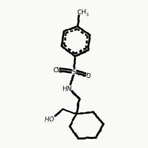 Cc1ccc(S(=O)(=O)NCC2(CO)CCCCC2)cc1